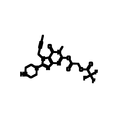 CC#CCn1c(N2CCNCC2)nc2nc(OC(=O)COC(=O)C(F)(F)F)n(C)c(=O)c21